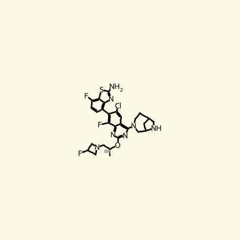 C[C@@H](CN1CC(F)C1)Oc1nc(N2CCC3CNC(C3)C2)c2cc(Cl)c(-c3ccc(F)c4sc(N)nc34)c(F)c2n1